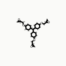 C1CC(C(C2CCC(OCC3CO3)CC2)C2CCC(OCC3CO3)CC2)CCC1OCC1CO1